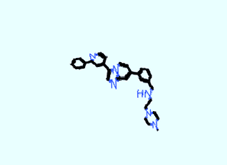 CN1CCN(CCNCc2cccc(-c3ccn4c(-c5ccnc(-c6ccccc6)c5)cnc4c3)c2)CC1